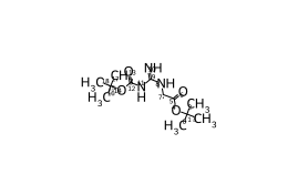 CC(C)(C)OC(=O)[CH]NC(=N)NC(=O)OC(C)(C)C